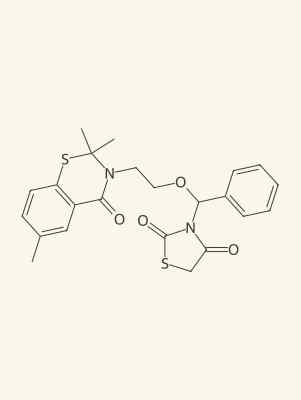 Cc1ccc2c(c1)C(=O)N(CCOC(c1ccccc1)N1C(=O)CSC1=O)C(C)(C)S2